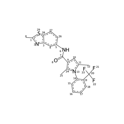 Cc1nc2cc(NC(=O)c3cc(C)n(-c4ccccc4C(F)(F)F)c3C)ccc2s1